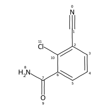 N#Cc1cccc(C(N)=O)c1Cl